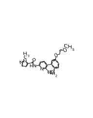 COCCOc1ccc(Cl)c(-c2ccc(NC(=O)c3ccnn3C)nc2N)c1